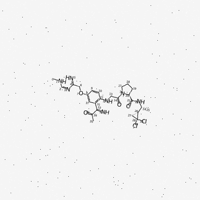 CN/C=N\C(=N)COc1ccc(NCC(=O)N2CCC[C@H]2C(=O)N[C@H](C)[C@H]2CC2(Cl)Cl)c(C(=N)C(C)=O)c1